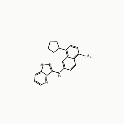 Cc1ccc(C2CCCC2)c2cc(Nc3n[nH]c4cccnc34)ccc12